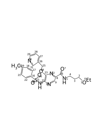 CCOCCCNC(=O)c1cnc(NS(=O)(=O)c2ccc(C)cc2)c(OCc2cccnc2)n1